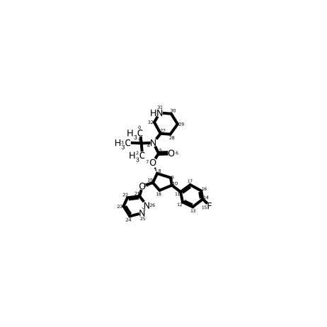 CC(C)(C)N(C(=O)O[C@@H]1CC(c2ccc(F)cc2)CC1Oc1cccnn1)C1CCCNC1